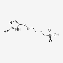 O=S(=O)(O)CCCCSSc1cnc(S)[nH]1